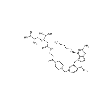 CCCCCNc1nc(N)nc2ccn(Cc3cc(CN4CCN(C(=O)CCNC(=O)CC(SC[C@H](N)C(=O)O)C(O)O)CC4)ccc3OC)c12